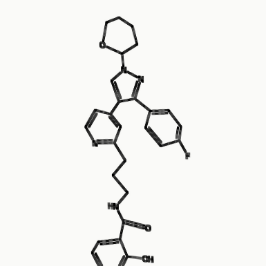 O=C(NCCCc1cc(-c2cn(C3CCCCO3)nc2-c2ccc(F)cc2)ccn1)c1ccccc1O